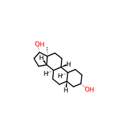 C[C@]12CC[C@H]3[C@@H](CC[C@H]4C[C@@H](O)CC[C@@H]43)[C@@H]1CC[C@@H]2O